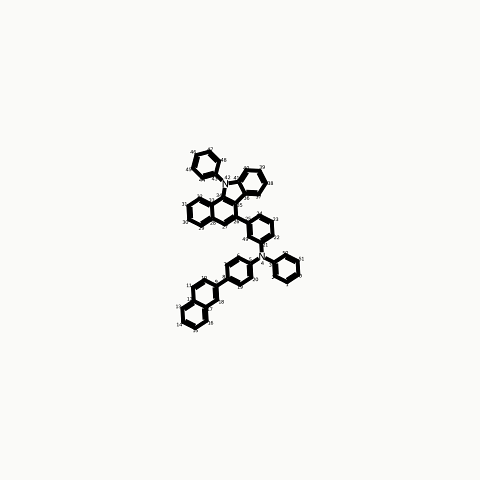 c1ccc(N(c2ccc(-c3ccc4ccccc4c3)cc2)c2cccc(-c3cc4ccccc4c4c3c3ccccc3n4-c3ccccc3)c2)cc1